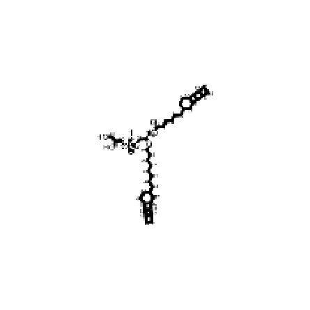 O=C(CCCCCC1CCC2C(C1)C1C3CCC3C21)OC[C@H](COP(=O)(O)OC[C@@H](O)CO)OCCCCCCCCC1CCC2C(C1)C1C3CCC3C21